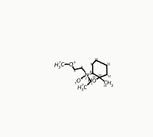 CC[N+]([O-])(CCOC)C1CCCCC1(C)O